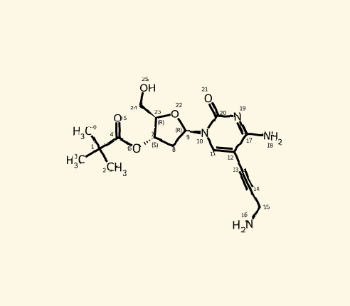 CC(C)(C)C(=O)O[C@H]1C[C@H](n2cc(C#CCN)c(N)nc2=O)O[C@@H]1CO